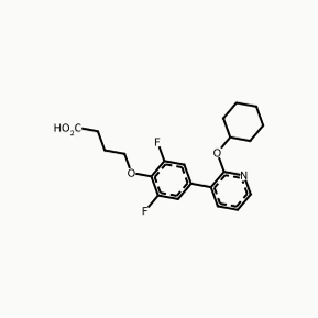 O=C(O)CCCOc1c(F)cc(-c2cccnc2OC2CCCCC2)cc1F